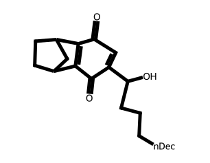 CCCCCCCCCCCCCC(O)C1=CC(=O)C2=C(C1=O)C1CCC2C1